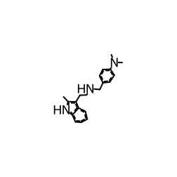 Cc1[nH]c2ccccc2c1CCNCc1ccc(N(C)C)cc1